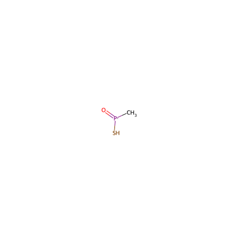 C[P](=O)S